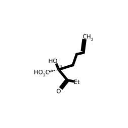 C=CCC[C@@](O)(C(=O)O)C(=O)CC